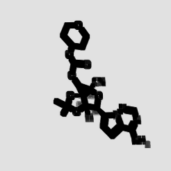 CC1(C)O[C@H]2[C@H](c3ccc4c(N)ncnn34)O[C@]3(C#N)C(OC(=O)OC4CCOCC4)[C@]23O1